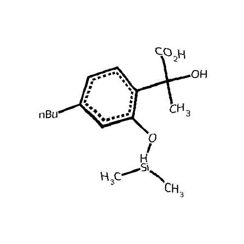 CCCCc1ccc(C(C)(O)C(=O)O)c(O[SiH](C)C)c1